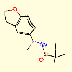 C[C@@H](N[S@@+]([O-])C(C)(C)C)c1ccc2c(c1)CCO2